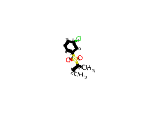 CCC(C)S(=O)(=O)c1cccc(Cl)c1